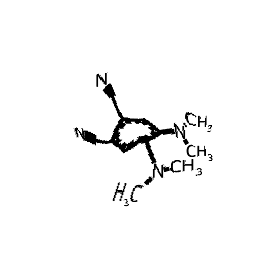 CN(C)c1cc(C#N)c(C#N)cc1N(C)C